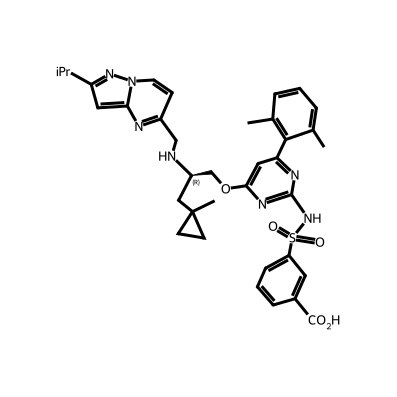 Cc1cccc(C)c1-c1cc(OC[C@@H](CC2(C)CC2)NCc2ccn3nc(C(C)C)cc3n2)nc(NS(=O)(=O)c2cccc(C(=O)O)c2)n1